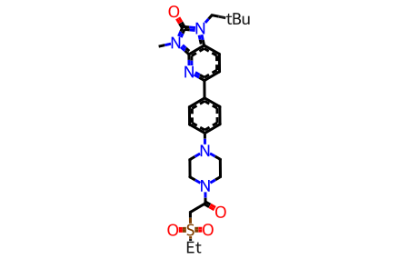 CCS(=O)(=O)CC(=O)N1CCN(c2ccc(-c3ccc4c(n3)n(C)c(=O)n4CC(C)(C)C)cc2)CC1